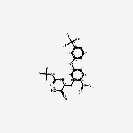 CC(C)(C)OC(=O)N[C@@H](Cc1cc(Oc2cccc(C(F)(F)F)c2)ccc1[N+](=O)[O-])C(=O)O